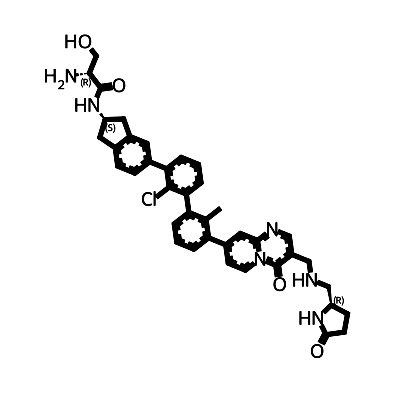 Cc1c(-c2ccn3c(=O)c(CNC[C@H]4CCC(=O)N4)cnc3c2)cccc1-c1cccc(-c2ccc3c(c2)C[C@@H](NC(=O)[C@H](N)CO)C3)c1Cl